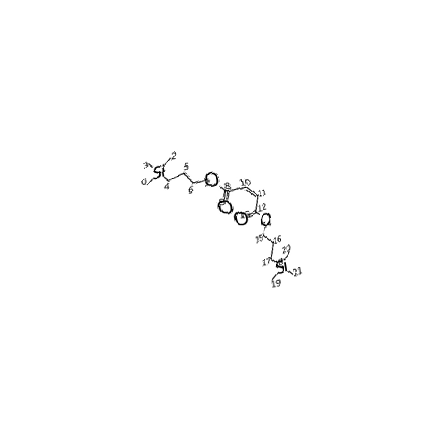 C[Si](C)(C)CCCOC(=O)/C=C\C(=O)OCCC[Si](C)(C)C